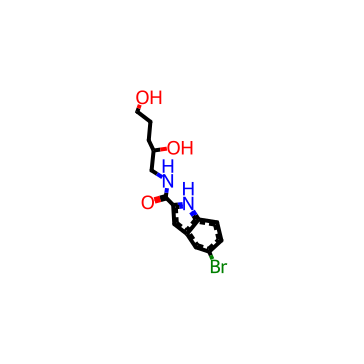 O=C(NCC(O)CCCO)c1cc2cc(Br)ccc2[nH]1